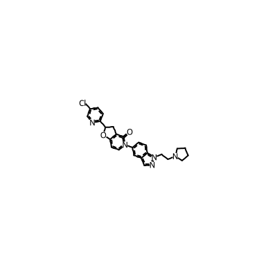 O=c1c2c(ccn1-c1ccc3c(cnn3CCN3CCCC3)c1)OC(c1ccc(Cl)cn1)C2